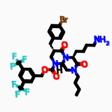 CCCCN1C[C@@H]2N(C(=O)OCc3cc(C(F)(F)F)cc(C(F)(F)F)c3)C[C@H](Cc3ccc(Br)cc3)C(=O)N2[C@@H](CCCCN)C1=O